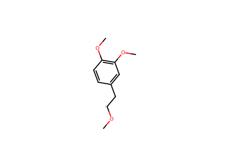 CO[C]Cc1ccc(OC)c(OC)c1